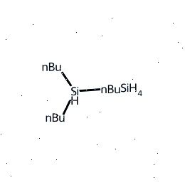 CCCC[SiH](CCCC)CCCC.[SiH4]